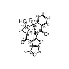 CC1OCc2sc(NC(=O)c3ccccc3C(F)(F)F)c(C(=O)N3CC(O)C3)c21